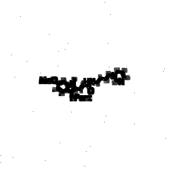 CCCCCc1c(/C=C/C(=O)NCCCCN2C=NC=CC2)n(C)c2cc(OC)ccc12